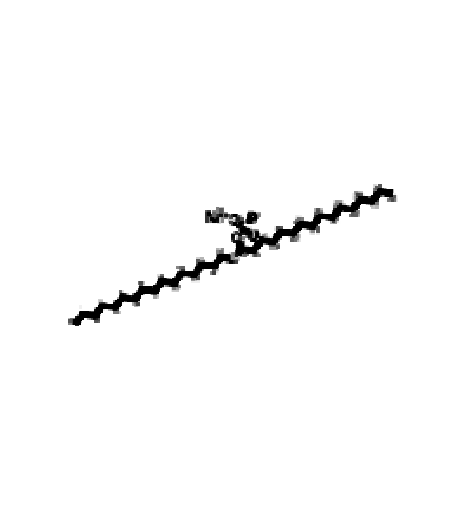 CCCCCCCCCCCCCCCCOC(CCCCCCCCCCCCCCC)OS(=O)(=O)[O-].[Na+]